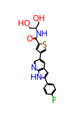 O=C(NC(CO)CO)c1cc(-c2cnc3[nH]c(-c4ccc(F)cc4)cc3c2)cs1